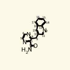 NC(=O)c1nccnc1Cc1cnc2ccccc2c1